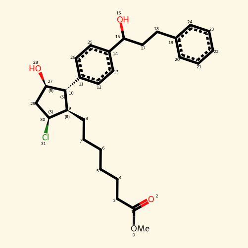 COC(=O)CCCCCC[C@@H]1[C@@H](c2ccc(C(O)CCc3ccccc3)cc2)[C@H](O)C[C@@H]1Cl